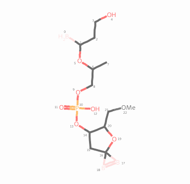 BC(CCO)OC(C)COP(=O)(O)OC1CC2(B=B2)OC1COC